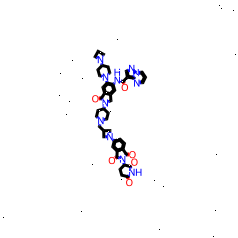 O=C1CCC(N2C(=O)c3ccc(N4CC(CN5CCC(N6Cc7cc(NC(=O)c8cnn9cccnc89)c(N8CCC(N9CCC9)CC8)cc7C6=O)CC5)C4)cc3C2=O)C(=O)N1